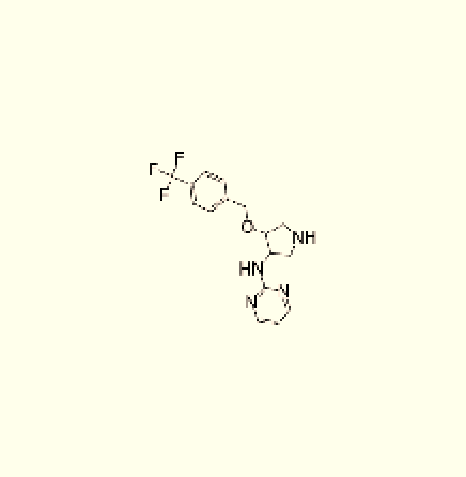 FC(F)(F)c1ccc(COC2CNCC2Nc2ncccn2)cc1